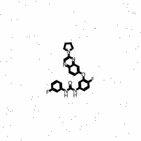 O=C(Nc1cccc(F)c1)Nc1ccc(F)c(Oc2ccc3ncc(N4CCCC4)nc3c2)c1